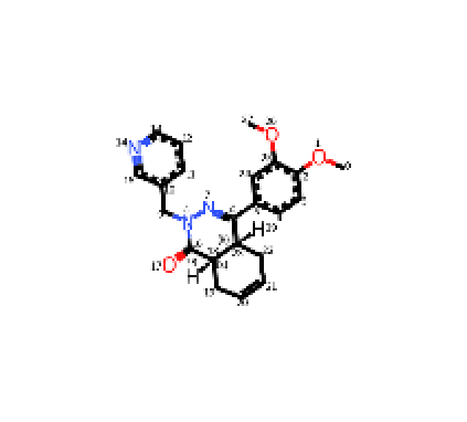 COc1ccc(C2=NN(Cc3cccnc3)C(=O)[C@H]3CC=CC[C@@H]23)cc1OC